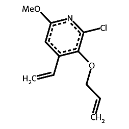 C=CCOc1c(C=C)cc(OC)nc1Cl